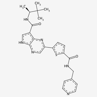 C[C@H](NC(=O)c1c[nH]c2ncc(-c3ccc(C(=O)NCc4ccncc4)s3)nc12)C(C)(C)C